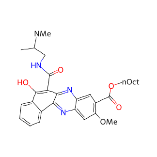 CCCCCCCCOC(=O)c1cc2nc3c(C(=O)NCC(C)NC)c(O)c4ccccc4c3nc2cc1OC